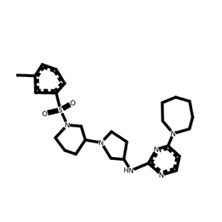 Cc1cccc(S(=O)(=O)N2CCCC(N3CCC(Nc4nccc(N5CCCCCC5)n4)C3)C2)c1